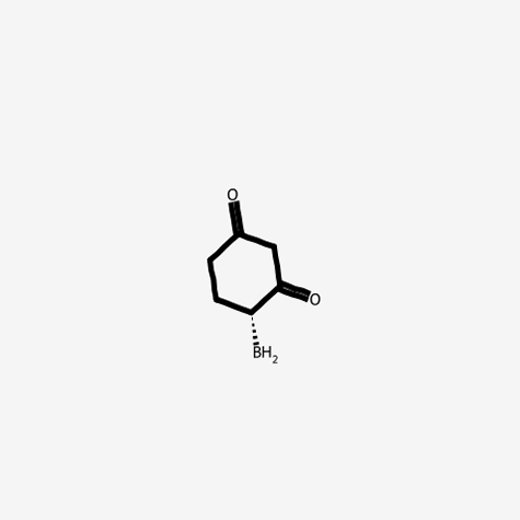 B[C@@H]1CCC(=O)CC1=O